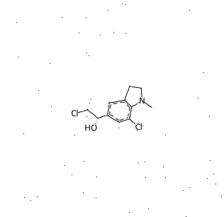 CN1CCc2cc([C@H](O)CCl)cc(Cl)c21